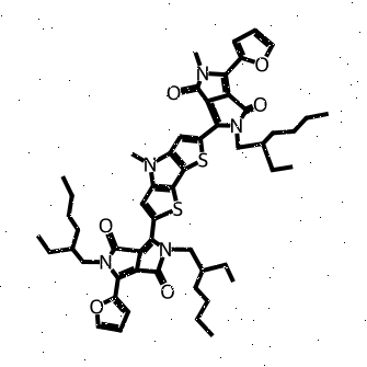 CCCCC(CC)CN1C(=O)C2=C(c3cc4c(s3)c3sc(C5=C6C(=O)N(C)C(c7ccco7)=C6C(=O)N5CC(CC)CCCC)cc3n4C)N(CC(CC)CCCC)C(=O)C2=C1c1ccco1